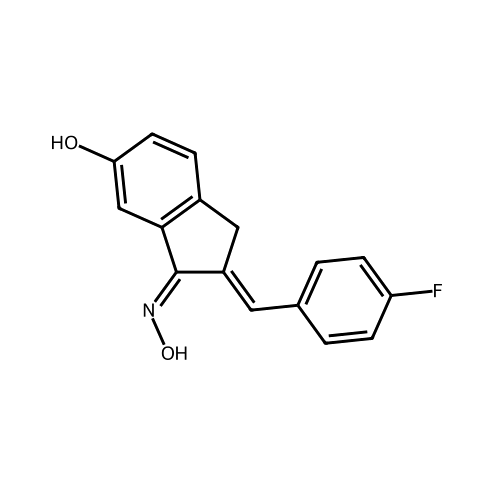 O/N=C1\C(=C\c2ccc(F)cc2)Cc2ccc(O)cc21